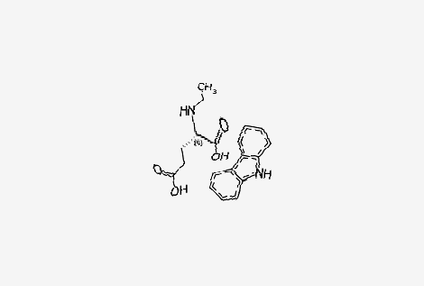 CCN[C@@H](CCC(=O)O)C(=O)O.c1ccc2c(c1)[nH]c1ccccc12